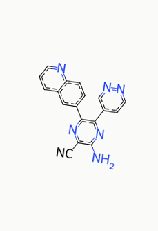 N#Cc1nc(-c2ccc3ncccc3c2)c(-c2ccnnc2)nc1N